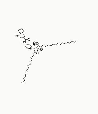 CCCCCCCCCCCCCCCC(=O)C(O)C(O)(C(=O)c1cccc(NC(=O)C(CS)Cc2ccccc2)c1)C(O)C(=O)CCCCCCCCCCCCCCC